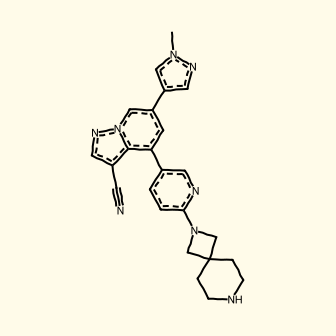 Cn1cc(-c2cc(-c3ccc(N4CC5(CCNCC5)C4)nc3)c3c(C#N)cnn3c2)cn1